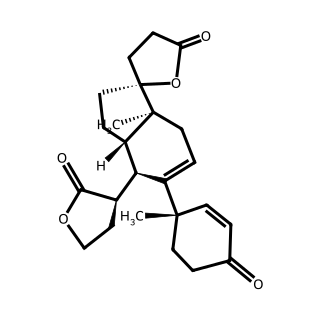 C[C@]12CC=C([C@]3(C)C=CC(=O)CC3)[C@@H]([C@H]3CCOC3=O)[C@@H]1CC[C@@]21CCC(=O)O1